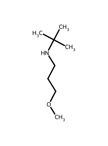 COCCCNC(C)(C)C